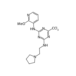 COc1ncccc1Nc1nc(NCCN2CCCC2)nc(C(Cl)(Cl)Cl)n1